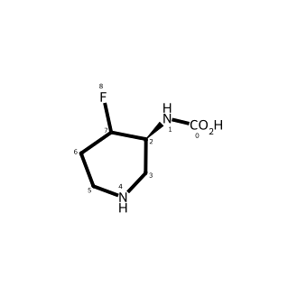 O=C(O)N[C@H]1CNCCC1F